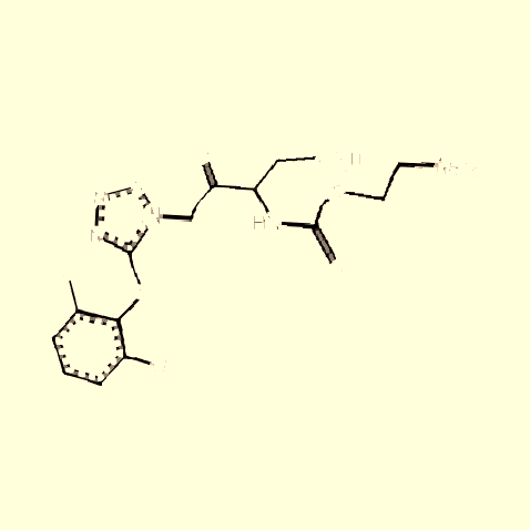 CC(=O)NCCSC(=O)NC(CC(=O)O)C(=O)Cn1nnnc1Sc1c(Cl)cccc1Cl